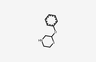 [c]1ccccc1OC1CNCCS1